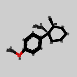 CCCCC[C@@]1(c2ccc(OCCCC)cc2)CCCC[C@@H]1C